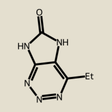 CCc1nnnc2[nH]c(=O)[nH]c12